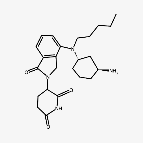 CCCCCN(c1cccc2c1CN(C1CCC(=O)NC1=O)C2=O)[C@H]1CCC[C@H](N)C1